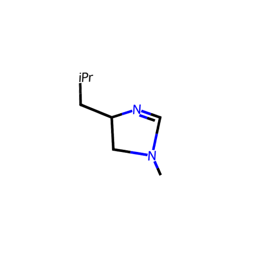 CC(C)CC1CN(C)C=N1